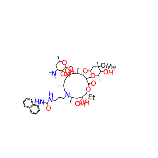 CC[C@H]1OC(=O)[C@H](C)[C@@H](O[C@H]2C[C@@](C)(OC)[C@@H](O)[C@H](C)O2)[C@H](C)[C@@H](O[C@@H]2O[C@H](C)C[C@H](N(C)C)[C@H]2O)[C@](C)(O)C[C@@H](C)CN(CCCNC(=O)Nc2cccc3ccccc23)[C@H](C)[C@@H](O)[C@]1(C)O